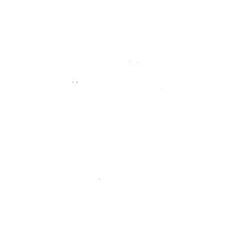 COc1cc(CCO)cc(OC)c1OC